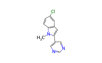 Cn1c(-c2cncnc2)cc2cc(Cl)ccc21